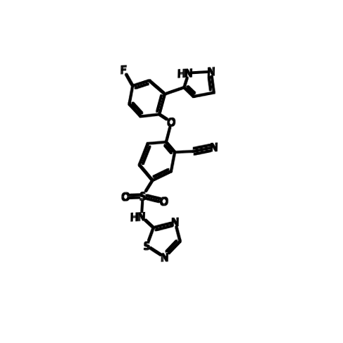 N#Cc1cc(S(=O)(=O)Nc2ncns2)ccc1Oc1ccc(F)cc1-c1ccn[nH]1